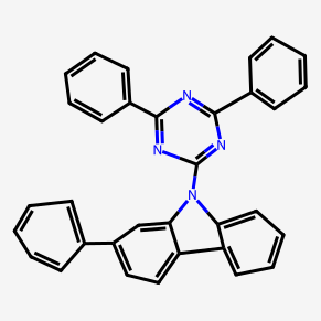 c1ccc(-c2ccc3c4ccccc4n(-c4nc(-c5ccccc5)nc(-c5ccccc5)n4)c3c2)cc1